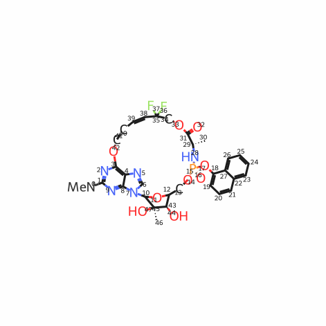 CNc1nc2c3ncn(c3n1)C1OC(COP(=O)(Oc3cccc4ccccc34)N[C@@H](C)C(=O)OCC(F)(F)C=CCCO2)[C@@H](O)[C@@]1(C)O